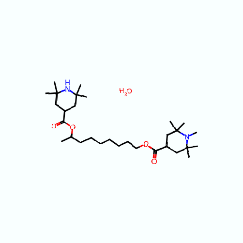 CC(CCCCCCCOC(=O)C1CC(C)(C)N(C)C(C)(C)C1)OC(=O)C1CC(C)(C)NC(C)(C)C1.O